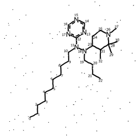 CCCCCCCCCCCN(c1ncncn1)N(CCCC)C1CCN(C)C(C)(C)C1C